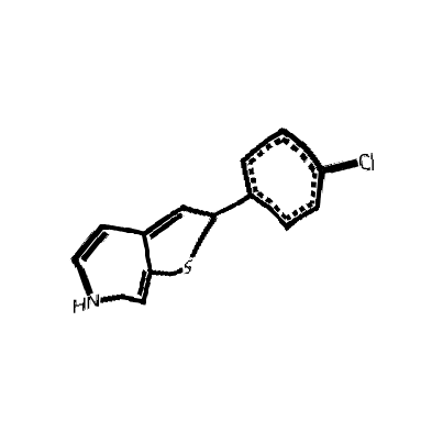 Clc1ccc(C2C=C3C=CNC=C3S2)cc1